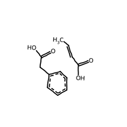 CC=CC(=O)O.O=C(O)Cc1ccccc1